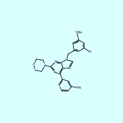 CCc1cc(Cn2cnc3c(-c4cccc(O)c4)nc(N4CCOCC4)nc32)cc(OC)c1